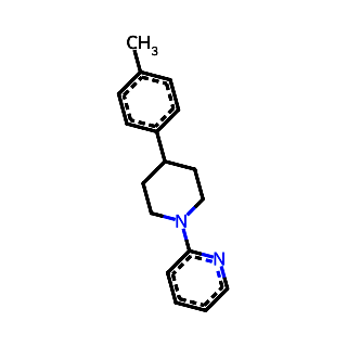 Cc1ccc(C2CCN(c3ccccn3)CC2)cc1